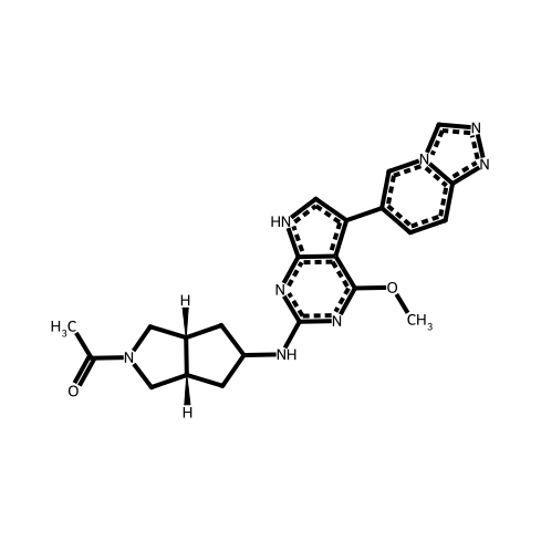 COc1nc(NC2C[C@@H]3CN(C(C)=O)C[C@@H]3C2)nc2[nH]cc(-c3ccc4nncn4c3)c12